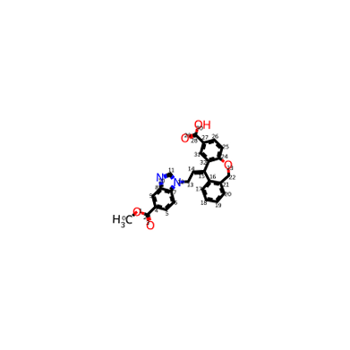 COC(=O)c1ccc2c(c1)ncn2C/C=C1\c2ccccc2COc2ccc(C(=O)O)cc21